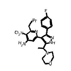 CC(C)Cc1nc(-c2c(-c3ccc(F)cc3)n[nH]c2C(C)N2CCOCC2)cc(N)c1[N+](=O)[O-]